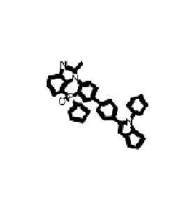 Cc1nc2cccc3c2n1-c1ccc(-c2ccc(-c4cc5ccccc5n4-c4ccccc4)cc2)cc1P3(=O)c1ccccc1